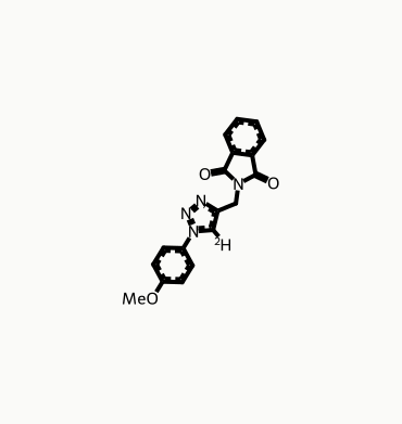 [2H]c1c(CN2C(=O)c3ccccc3C2=O)nnn1-c1ccc(OC)cc1